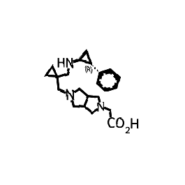 O=C(O)CN1CC2CN(CC3(CNC4C[C@@H]4c4ccccc4)CC3)CC2C1